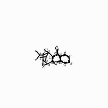 CC(C)C12SC1(C(C)C)C1SC1c1oc3ccccc3c(=O)c12